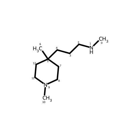 CNCCCC1(C)CCN(C)CC1